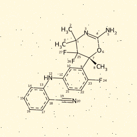 CC1(C)N=C(N)O[C@](C)(c2cc(Nc3ccccc3C#N)ccc2F)C1(F)F